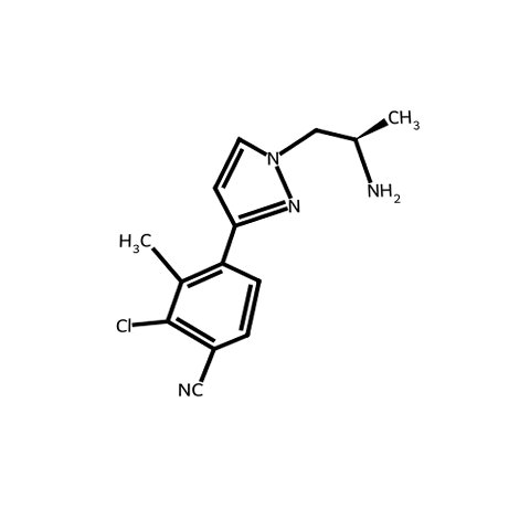 Cc1c(-c2ccn(C[C@@H](C)N)n2)ccc(C#N)c1Cl